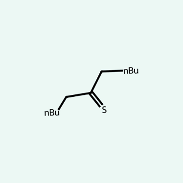 CCCCCC(=S)CCCCC